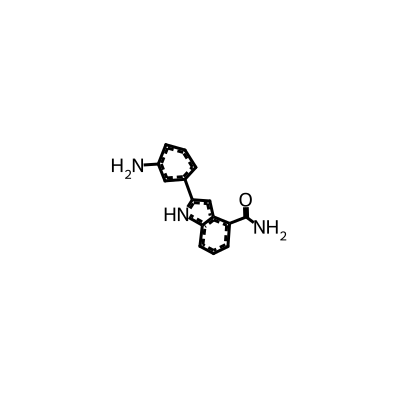 NC(=O)c1cccc2[nH]c(-c3cccc(N)c3)cc12